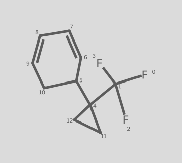 FC(F)(F)C1(C2C=CC=CC2)CC1